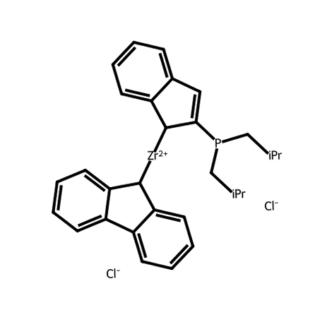 CC(C)CP(CC(C)C)C1=Cc2ccccc2[CH]1[Zr+2][CH]1c2ccccc2-c2ccccc21.[Cl-].[Cl-]